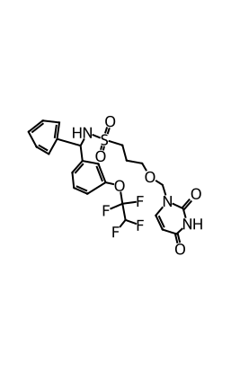 O=c1ccn(COCCCS(=O)(=O)NC(c2ccccc2)c2cccc(OC(F)(F)C(F)F)c2)c(=O)[nH]1